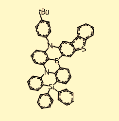 CC(C)(C)c1ccc(N2c3cc4c(cc3B3c5cccc6c5N(c5ccccc5[Si]6(c5ccccc5)c5ccccc5)c5cccc2c53)sc2ccccc24)cc1